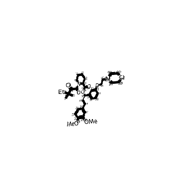 CCC(C)(C)C(=O)C(=O)N1CCCCC1C(=O)O[C@H](CCc1ccc(OC)c(OC)c1)c1cccc(OCCN2CCOCC2)c1